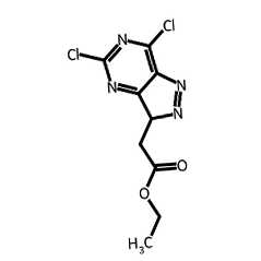 CCOC(=O)CC1N=Nc2c(Cl)nc(Cl)nc21